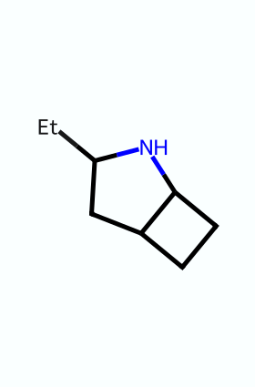 CCC1CC2CCC2N1